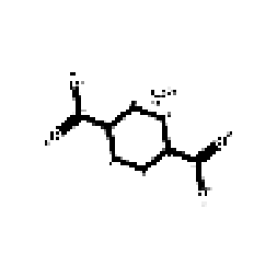 O=C([O-])C1CCC(C(=O)[O-])CC1.[Ca+2]